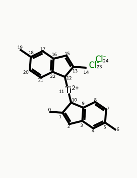 CC1=Cc2cc(C)ccc2[CH]1[Ti+2][CH]1C(C)=Cc2cc(C)ccc21.[Cl-].[Cl-]